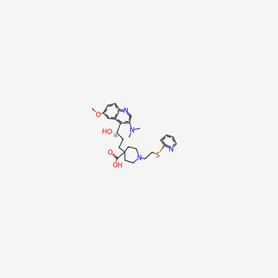 COc1ccc2ncc(N(C)C)c([C@@H](O)CCC3(C(=O)O)CCN(CCSc4ccccn4)CC3)c2c1